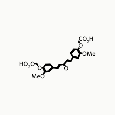 COc1cc(/C=C/C(=O)/C=C/c2ccc(OCC(=O)O)c(OC)c2)ccc1OCC(=O)O